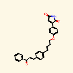 O=C1C=C(c2ccc(OCCCCc3ccc(C=CC(=O)c4ccccc4)cc3)cc2)C(=O)N1